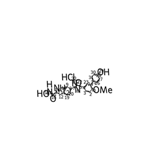 COc1ccc(-c2nc(-c3ccc(C[C@H](N)C(=O)NO)cc3)no2)cc1-c1ccc(O)cc1.Cl